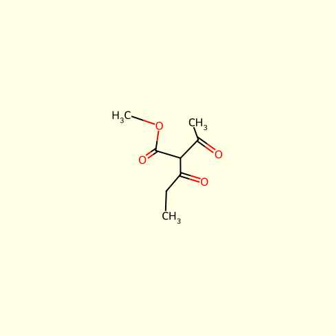 CCC(=O)C(C(C)=O)C(=O)OC